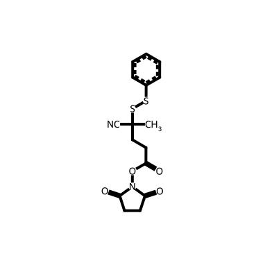 CC(C#N)(CCC(=O)ON1C(=O)CCC1=O)SSc1ccccc1